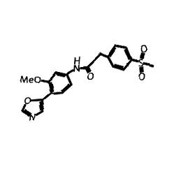 COc1cc(NC(=O)Cc2ccc(S(C)(=O)=O)cc2)ccc1-c1cnco1